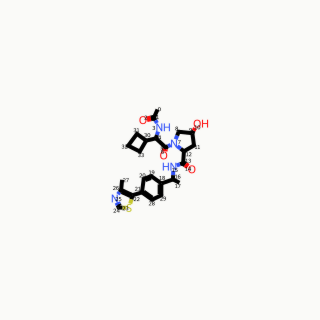 CC(=O)NC(C(=O)N1CC(O)CC1C(=O)NC(C)c1ccc(-c2scnc2C)cc1)C1CCC1